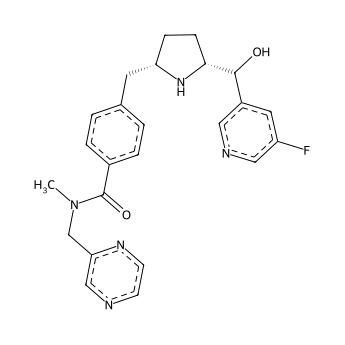 CN(Cc1cnccn1)C(=O)c1ccc(C[C@@H]2CC[C@H](C(O)c3cncc(F)c3)N2)cc1